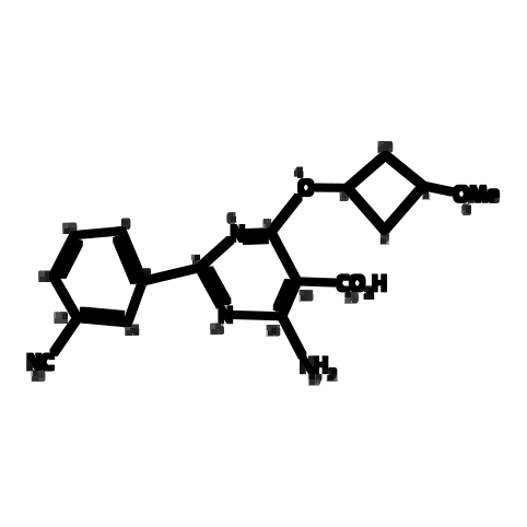 COC1CC(Oc2nc(-c3cccc(C#N)c3)nc(N)c2C(=O)O)C1